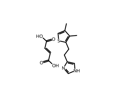 Cc1csc(CCc2c[nH]cn2)c1C.O=C(O)C=CC(=O)O